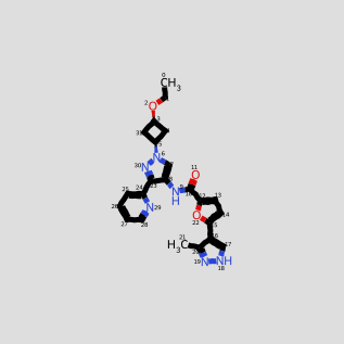 CCO[C@H]1C[C@@H](n2cc(NC(=O)c3ccc(-c4c[nH]nc4C)o3)c(-c3ccccn3)n2)C1